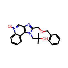 CC(C)(O)Cn1c(COCc2ccccc2)nc2c[n+]([O-])c3ccccc3c21